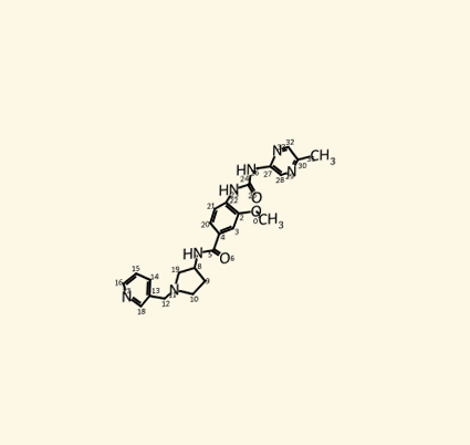 COc1cc(C(=O)NC2CCN(Cc3cccnc3)C2)ccc1NC(=O)Nc1cnc(C)cn1